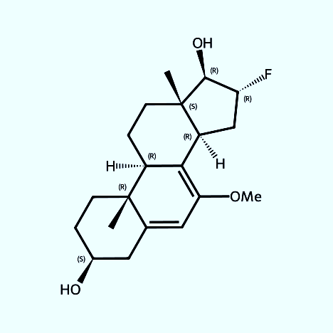 COC1=C2[C@@H]3C[C@@H](F)[C@H](O)[C@@]3(C)CC[C@@H]2[C@@]2(C)CC[C@H](O)CC2=C1